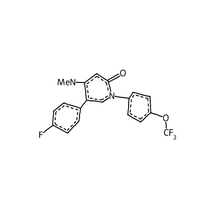 CNc1cc(=O)n(-c2ccc(OC(F)(F)F)cc2)cc1-c1ccc(F)cc1